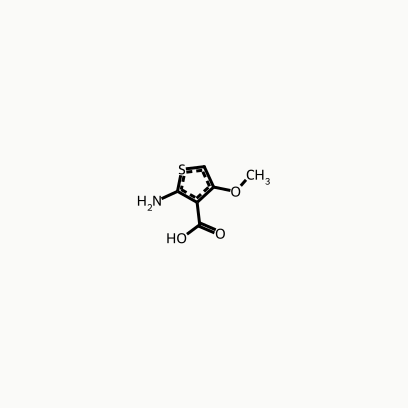 COc1csc(N)c1C(=O)O